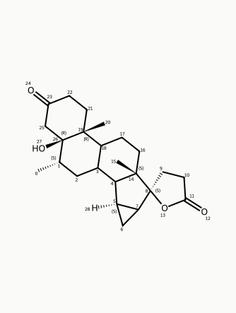 C[C@H]1CC2C3[C@@H]4CC4[C@@]4(CCC(=O)O4)[C@@]3(C)CCC2[C@@]2(C)CCC(=O)C[C@@]12O